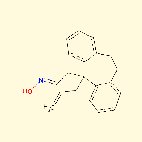 C=CCC1(CC=NO)c2ccccc2CCc2ccccc21